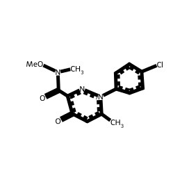 CON(C)C(=O)c1nn(-c2ccc(Cl)cc2)c(C)cc1=O